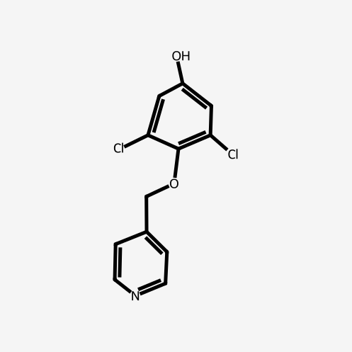 Oc1cc(Cl)c(OCc2ccncc2)c(Cl)c1